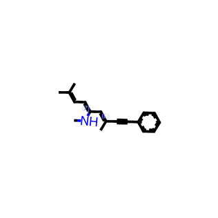 CNC(=C\C=C(C)C)/C=C(\C)C#Cc1ccccc1